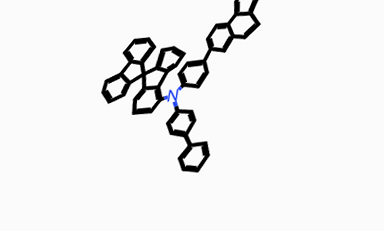 c1ccc(-c2ccc(N(c3ccc(-c4ccc5c(ccc6ccccc65)c4)cc3)c3cccc4c3-c3ccccc3C43c4ccccc4-c4ccccc43)cc2)cc1